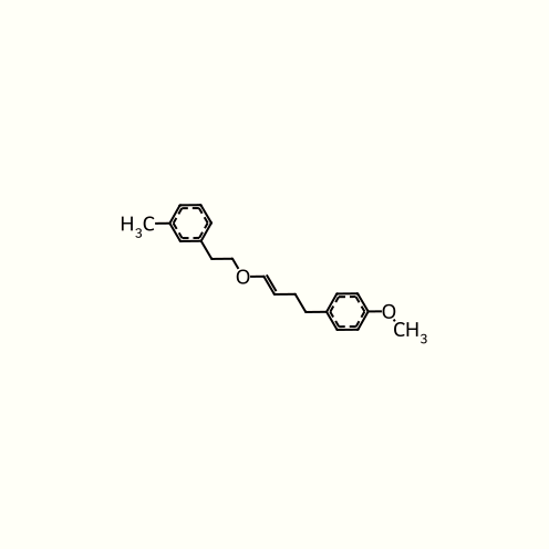 COc1ccc(CCC=COCCc2cccc(C)c2)cc1